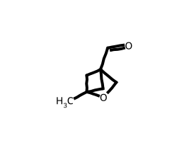 CC12CC(C=O)(CO1)C2